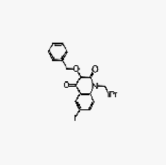 CC(C)CN1C(=O)C(OCc2ccccc2)C(=O)c2cc(I)ccc21